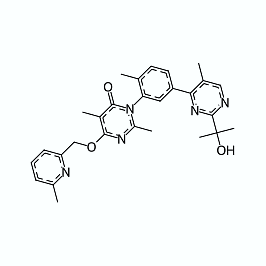 Cc1cccc(COc2nc(C)n(-c3cc(-c4nc(C(C)(C)O)ncc4C)ccc3C)c(=O)c2C)n1